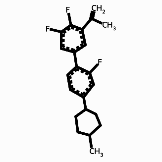 C=C(C)c1cc(-c2ccc(C3CCC(C)CC3)cc2F)cc(F)c1F